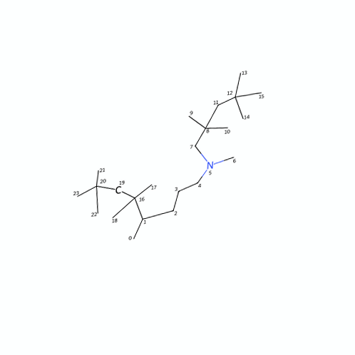 CC(CCCN(C)CC(C)(C)CC(C)(C)C)C(C)(C)CC(C)(C)C